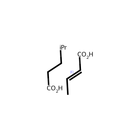 C/C=C/C(=O)O.CC(C)CCC(=O)O